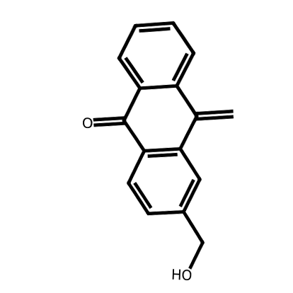 C=C1c2ccccc2C(=O)c2ccc(CO)cc21